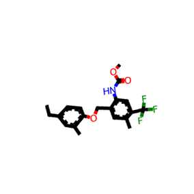 CCc1ccc(OCc2cc(C)c(C(F)(F)F)cc2NC(=O)OC)c(C)c1